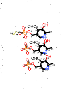 Cc1ncc(COP(=O)([O-])[O-])c(C=O)c1O.Cc1ncc(COP(=O)([O-])[O-])c(C=O)c1O.Cc1ncc(COP(=O)([O-])[O-])c(C=O)c1O.[C+4].[S+2]